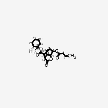 CCCC(=O)OC1C2CC3C1OC(=O)C3C2C(=O)OC1(C)CCCCC1